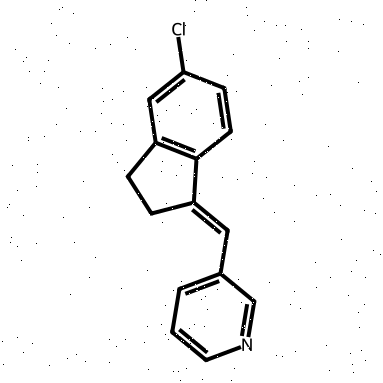 Clc1ccc2c(c1)CCC2=Cc1cccnc1